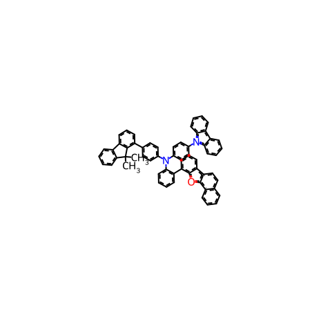 CC1(C)c2ccccc2-c2cccc(-c3ccc(N(c4ccc(-n5c6ccccc6c6ccccc65)cc4)c4ccccc4-c4cccc5c4oc4c6ccccc6ccc54)cc3)c21